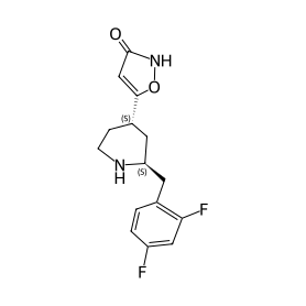 O=c1cc([C@H]2CCN[C@H](Cc3ccc(F)cc3F)C2)o[nH]1